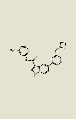 Cc1ccnc(NC(=O)c2n[nH]c3ccc(-c4cncc(CN5CCC5)c4)cc23)c1